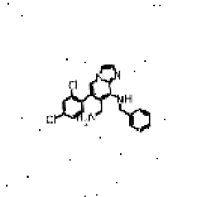 NCc1c(-c2ccc(Cl)cc2Cl)cn2ccnc2c1NCc1ccccc1